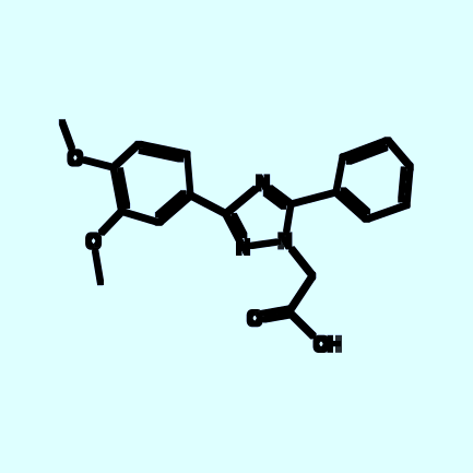 COc1ccc(-c2nc(-c3ccccc3)n(CC(=O)O)n2)cc1OC